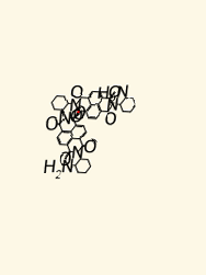 NC1CCCC[C@H]1N1C(=O)c2ccc3c4c(ccc(c24)C1=O)C(=O)N(C1CCCC[C@H]1N1C(=O)c2ccc4c5c(ccc(c25)C1=O)C(=O)N(C1CCCC[C@H]1N)C4=O)C3=O